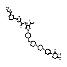 O=C1CCN(c2ccc(N3CCC(N4CCN(CC5CCC(n6cc(NC(=O)c7coc(-c8ccnc(NCC(F)(F)F)c8)n7)c(C(F)F)n6)CC5)CC4)CC3)cc2)C(=O)N1